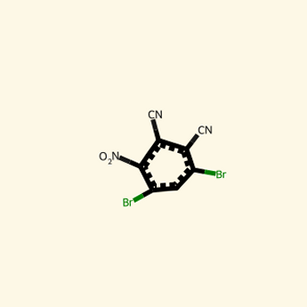 N#Cc1c(Br)cc(Br)c([N+](=O)[O-])c1C#N